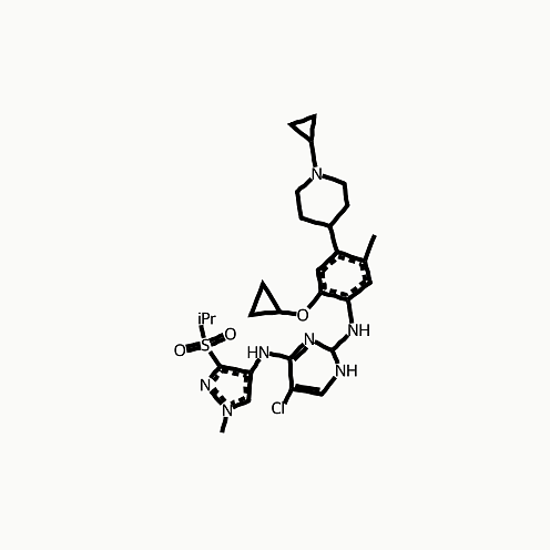 Cc1cc(NC2N=C(Nc3cn(C)nc3S(=O)(=O)C(C)C)C(Cl)=CN2)c(OC2CC2)cc1C1CCN(C2CC2)CC1